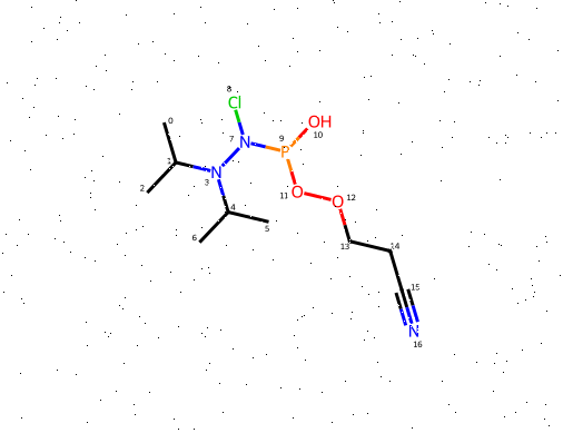 CC(C)N(C(C)C)N(Cl)P(O)OOCCC#N